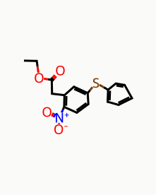 CCOC(=O)Cc1cc(Sc2ccccc2)ccc1[N+](=O)[O-]